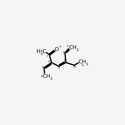 C=C/C(=C\C(=C/C)C(C)=O)CC